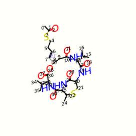 CC(=O)SCC/C=C/[C@@H]1CC(=O)N[C@H](C(C)C)C(=O)NC2CSC(C)C(NC2=O)C(=O)N[C@@H](C(C)C)C(=O)O1